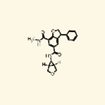 CNC(=O)c1cc(C(=O)N[C@H]2[C@@H]3COC[C@@H]32)cc2c1OCC2c1ccccc1